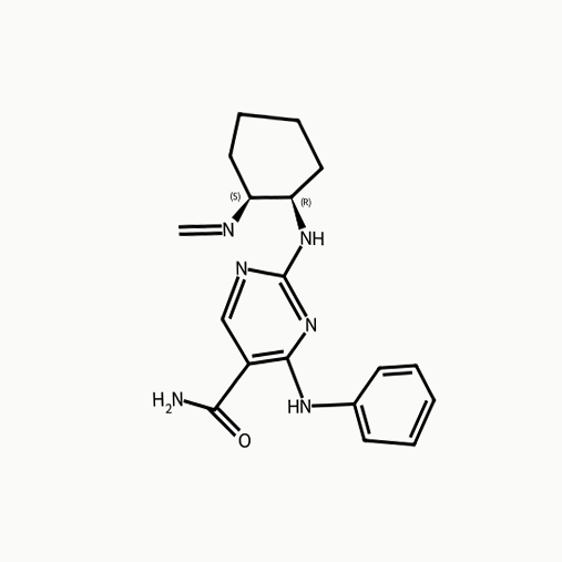 C=N[C@H]1CCCC[C@H]1Nc1ncc(C(N)=O)c(Nc2ccccc2)n1